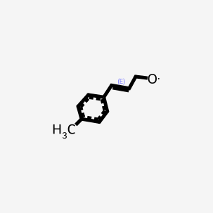 Cc1ccc(/C=C/C[O])cc1